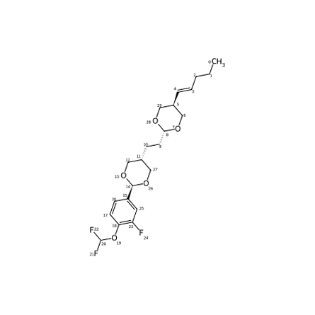 CCCC=C[C@H]1CO[C@H](CC[C@H]2CO[C@H](c3ccc(OC(F)F)c(F)c3)OC2)OC1